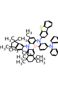 Cc1cc2c3c(c1)N(c1cc4c(cc1C)C(C)(C)CC4(C)C)c1cc4c(cc1B3c1ccc(N(c3ccccc3)c3ccccc3)cc1N2c1ccc2c(c1)sc1ccccc12)C(C)(C)CCC4(C)C